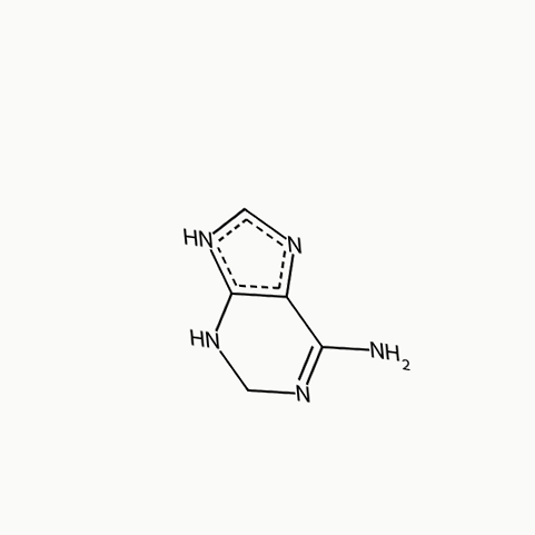 NC1=NCNc2[nH]cnc21